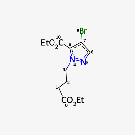 CCOC(=O)CCCn1ncc(Br)c1C(=O)OCC